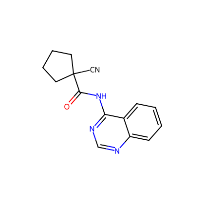 N#CC1(C(=O)Nc2ncnc3ccccc23)CCCC1